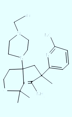 CC(C)CN1CCN(C2(CC(C)(C(N)=O)c3cccc(C#N)n3)CCOC(C)(C)C2)CC1